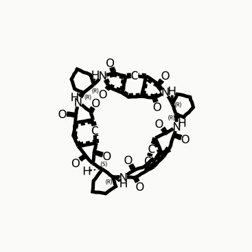 O=C1c2cc3c4cc2C(=O)C1[C@@H]1CCCC[C@H]1N1C(=O)c2ccc5c6c(ccc(c26)C1=O)C(=O)N(C5=O)[C@@H]1CCCC[C@H]1n1c(=O)c2cc5c(=O)n(c(=O)c5cc2c1=O)[C@@H]1CCCC[C@H]1N(C3=O)C4=O